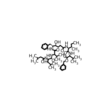 CC[C@H](C)[C@H](NC(=O)CC[C@H](O)[C@H](Cc1ccccc1)NC(=O)C(NC(=O)C(CC(C)C)NC(=O)CC(C)C)C(C)C)C(=O)NC(C(=O)OCc1ccccc1)C(C)C